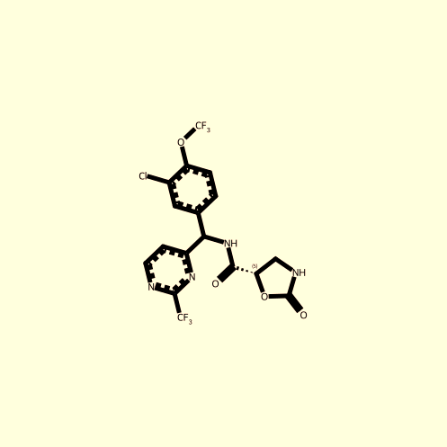 O=C1NC[C@@H](C(=O)NC(c2ccc(OC(F)(F)F)c(Cl)c2)c2ccnc(C(F)(F)F)n2)O1